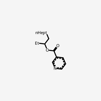 CCCCCCCCC(CC)OC(=O)c1cccnc1